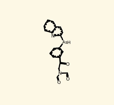 O=CN(C=O)CC(=O)c1cccc([AsH]c2ccc3ccccc3n2)c1